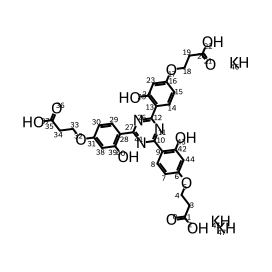 O=C(O)CCOc1ccc(-c2nc(-c3ccc(OCCC(=O)O)cc3O)nc(-c3ccc(OCCC(=O)O)cc3O)n2)c(O)c1.[KH].[KH].[KH]